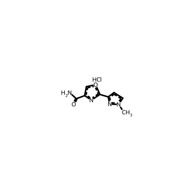 Cl.Cn1ccc(-c2nc(C(N)=O)co2)n1